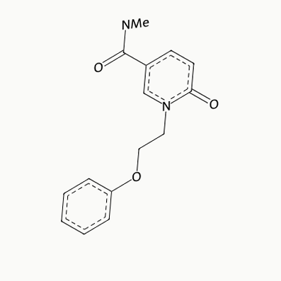 CNC(=O)c1ccc(=O)n(CCOc2ccccc2)c1